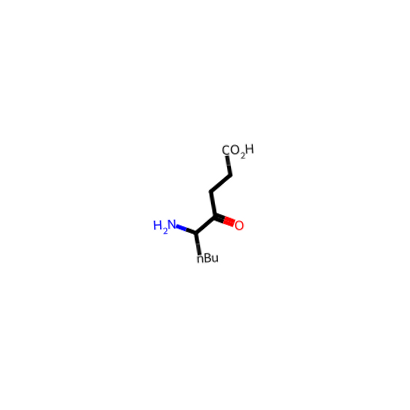 CCCCC(N)C(=O)CCC(=O)O